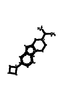 CC(C)N1CCn2c(nc3cc(C4CCC4)cnc32)C1